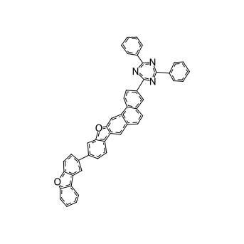 c1ccc(-c2nc(-c3ccccc3)nc(-c3ccc4c(ccc5cc6c(cc54)oc4cc(-c5ccc7oc8ccccc8c7c5)ccc46)c3)n2)cc1